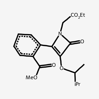 CCOC(=O)CN1C(=O)C(OC(C)C(C)C)=C1c1ccccc1C(=O)OC